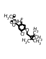 CC1(C)C(COc2cc(F)c(C(=O)NS(C)(=O)=O)cc2Cl)C1(C)C